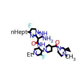 CCCCCCCC1=NC2C(C(=O)NC3CN(CC)CC(F)C3N3CCC(C(=O)N4CCN(C)C5(CC5)C4)CC3)C(N)NN2CC1F